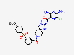 CC(C)COC1CCC(S(=O)(=O)c2cccc(C(=O)N3CCC4(CC3)CN/C(=N\C(=O)c3nc(Cl)c(N)nc3N)N4)c2)CC1